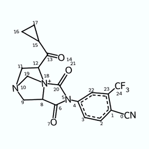 N#Cc1ccc(N2C(=O)C3CN4CC(C(=O)C5CC5)[N+]3(C4)C2=O)cc1C(F)(F)F